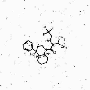 CC(C)[C@H](NCC(F)(F)F)C(=O)N1CCC(O)(c2ccccc2)[C@H]2CCCC[C@H]21